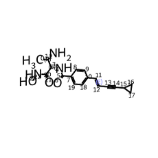 C[C@@H](N)[C@H](NC(=O)c1ccc(/C=C/C#CC2CC2)cc1)C(=O)NO